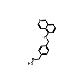 ONCc1ccc(CNc2cccc3cnccc23)cc1